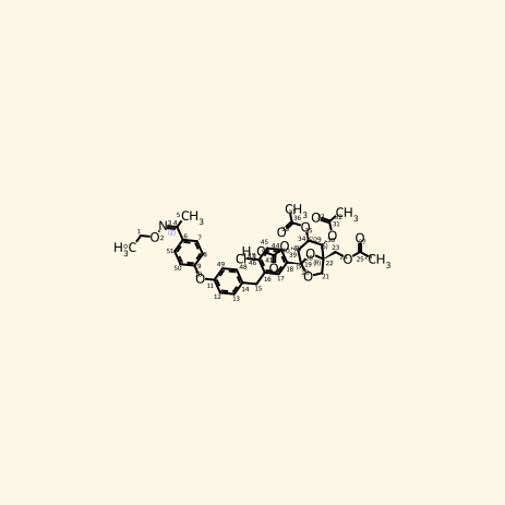 CCO/N=C(/C)c1ccc(Oc2ccc(Cc3cc([C@]45OC[C@](COC(C)=O)(O4)[C@@H](OC(C)=O)[C@H](OC(C)=O)[C@H]5OC(C)=O)ccc3Cl)cc2)cc1